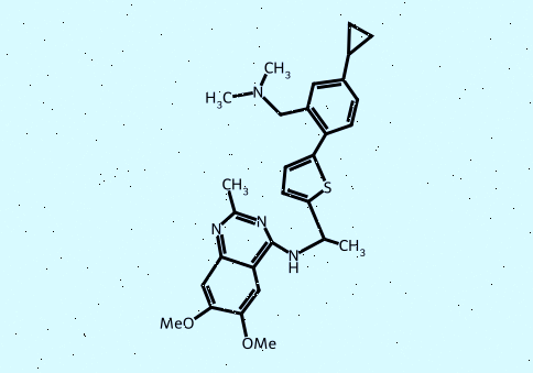 COc1cc2nc(C)nc(NC(C)c3ccc(-c4ccc(C5CC5)cc4CN(C)C)s3)c2cc1OC